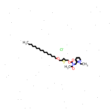 CCCCCCCCCCCCCCCCOCC1CC(COC(=O)N(Cc2cccc[n+]2CC)C(C)=O)S1.[Cl-]